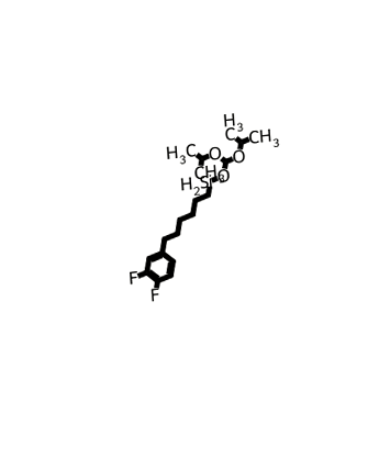 CC(C)OC(O[SiH2]CCCCCCc1ccc(F)c(F)c1)OC(C)C